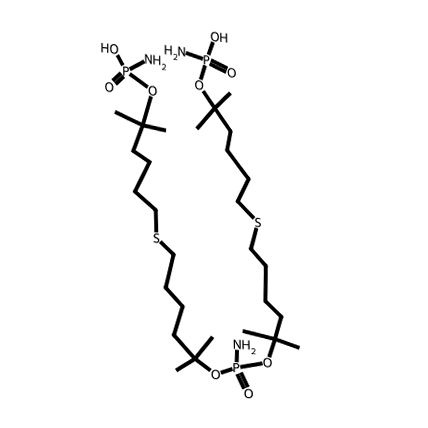 CC(C)(CCCCSCCCCC(C)(C)OP(N)(=O)OC(C)(C)CCCCSCCCCC(C)(C)OP(N)(=O)O)OP(N)(=O)O